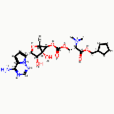 CN(C)[C@@H](COC(=O)OC1[C@H]2O[C@@H](c3ccc4c(N)ncnn34)[C@H](O)[C@@]12O)C(=O)OCC1CCCC1